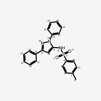 Cc1ccc(S(=O)(=O)Nc2cc(-c3ccccc3)nn2-c2ccccc2)cc1